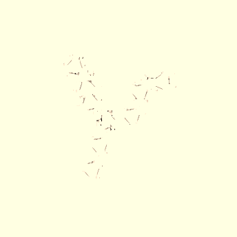 c1ccc(-c2ccc(-c3nc(-c4cccc(-c5ccc6sc7ccccc7c6c5)c4)nc(-c4ccc5cc6c(cc5c4)oc4ccccc46)n3)cc2)cc1